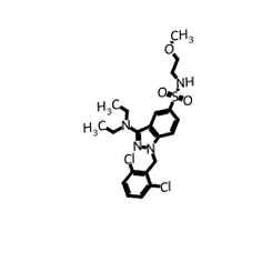 CCN(CC)c1nn(Cc2c(Cl)cccc2Cl)c2ccc(S(=O)(=O)NCCOC)cc12